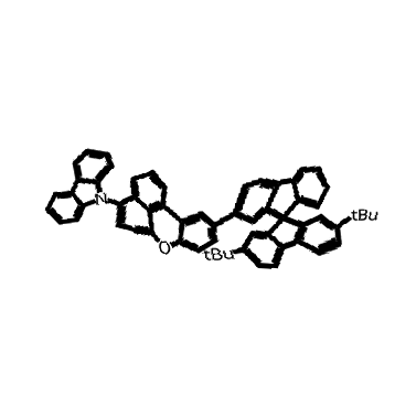 CC(C)(C)c1ccc2c(c1)C1(c3ccccc3-c3ccc(-c4ccc5c(c4)-c4cccc6c(-n7c8ccccc8c8ccccc87)ccc(c46)O5)cc31)c1cc(C(C)(C)C)ccc1-2